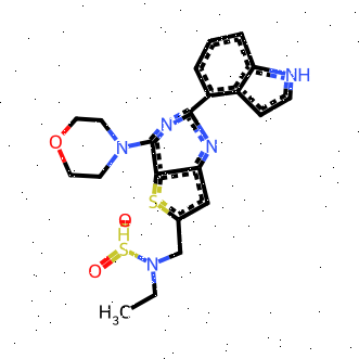 CCN(Cc1cc2nc(-c3cccc4[nH]ccc34)nc(N3CCOCC3)c2s1)[SH](=O)=O